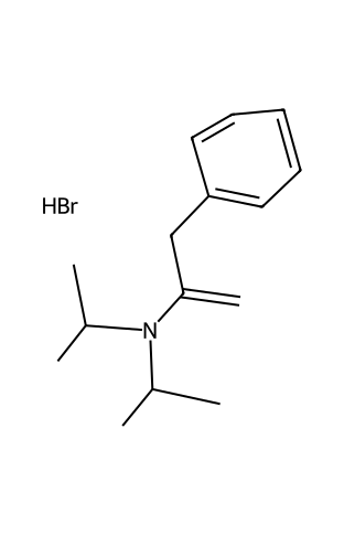 Br.C=C(Cc1ccccc1)N(C(C)C)C(C)C